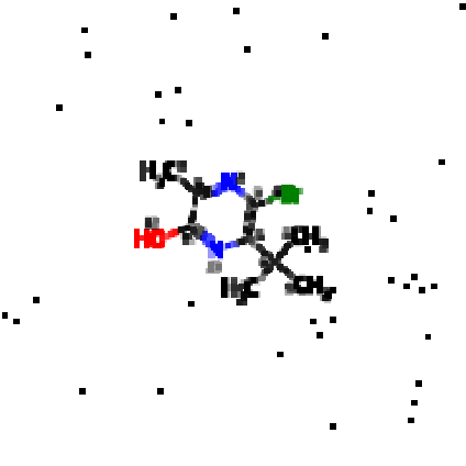 Cc1nc(Br)c(C(C)(C)C)nc1O